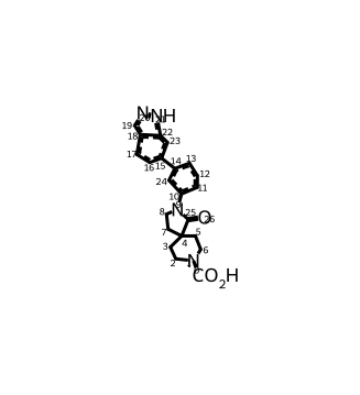 O=C(O)N1CCC2(CC1)CCN(c1cccc(-c3ccc4cn[nH]c4c3)c1)C2=O